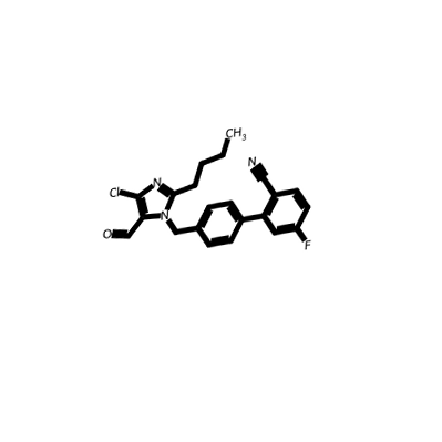 CCCCc1nc(Cl)c(C=O)n1Cc1ccc(-c2cc(F)ccc2C#N)cc1